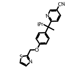 CC(C)C(C)(c1ccc(OCc2nccs2)cc1)c1ccc(C#N)cn1